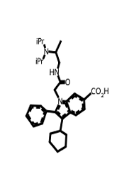 CC(C)N(C(C)C)C(C)CNC(=O)Cn1c(-c2ccccc2)c(C2CCCCC2)c2ccc(C(=O)O)cc21